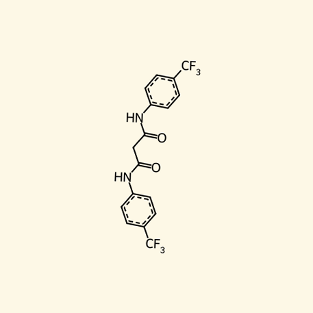 O=C(CC(=O)Nc1ccc(C(F)(F)F)cc1)Nc1ccc(C(F)(F)F)cc1